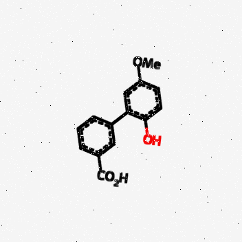 COc1ccc(O)c(-c2cccc(C(=O)O)c2)c1